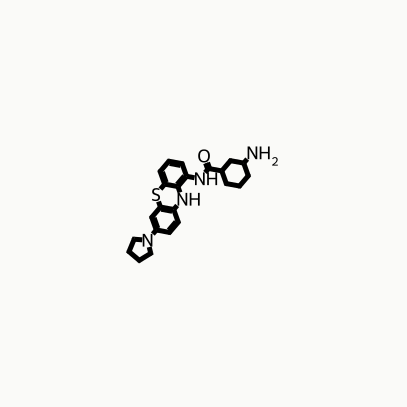 NC1CCCC(C(=O)Nc2cccc3c2Nc2ccc(N4CCCC4)cc2S3)C1